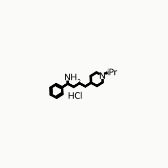 CC(C)N1CCC(CCCC(N)c2ccccc2)CC1.Cl